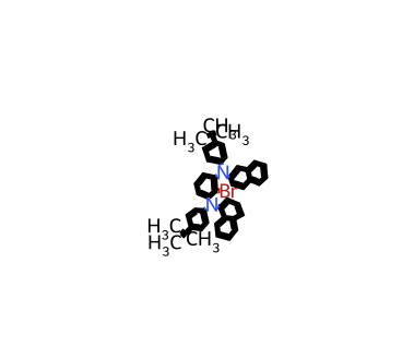 CC(C)(C)c1ccc(N(c2ccc3ccccc3c2)c2cccc(N(c3ccc(C(C)(C)C)cc3)c3cccc4ccccc34)c2Br)cc1